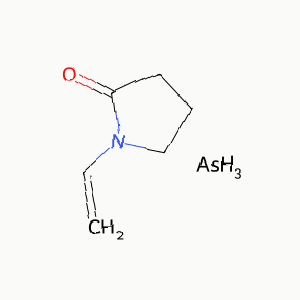 C=CN1CCCC1=O.[AsH3]